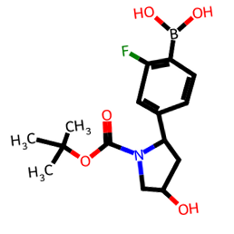 CC(C)(C)OC(=O)N1CC(O)CC1c1ccc(B(O)O)c(F)c1